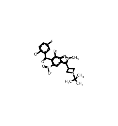 Cn1nc2c(Br)c(C(=O)c3cc(F)ccc3Cl)c([N+](=O)[O-])cc2c1C1CN(C(C)(C)C)C1